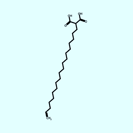 C=CCCCCCCCCCCCCCCCCCC(C(=O)O)C(=O)O